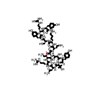 C[C@H](O)[C@H](N)C(=O)N[C@@H](Cc1ccc(O)cc1)C(=O)N[C@H](C(=O)N[C@@H](CC(N)=O)C(=O)N[C@@H](CCCNC(=N)N)C(=O)N[C@@H](CCN)C(=O)N[C@H](C(=O)N[C@H](CCN)C(=O)N[C@@H](CCCCN)C(=O)N[C@@H](CS)C(=O)N[C@@H](Cc1ccc(O)cc1)C(=O)N[C@@H](CCCNC(=N)N)C(=O)N[C@@H](Cc1ccc(O)cc1)C(=O)O)[C@@H](C)O)C(C)(C)S